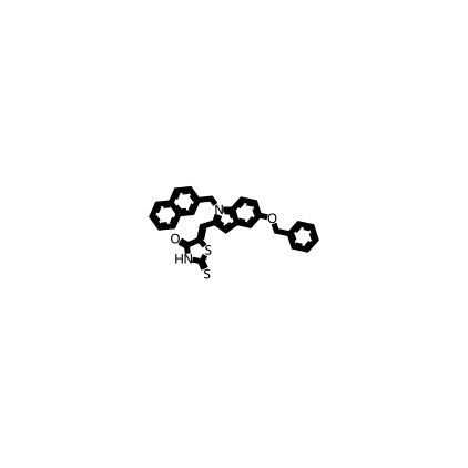 O=C1NC(=S)SC1=Cc1cc2cc(OCc3ccccc3)ccc2n1Cc1ccc2ccccc2c1